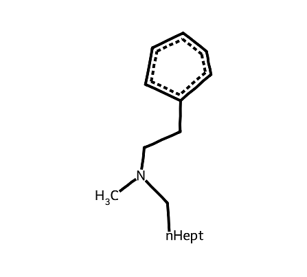 CCCCCCCCN(C)CCc1ccccc1